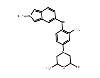 Cc1cc(N2CC(C)OC(C)C2)ccc1Nc1ccc2cn(C)cc2c1